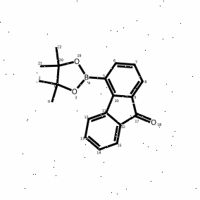 CC1(C)OB(c2cccc3c2-c2ccccc2C3=O)OC1(C)C